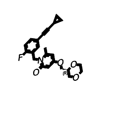 Cc1cc(OC[C@H]2COCCO2)cc(=O)n1Cc1cc(C#CC2CC2)ccc1F